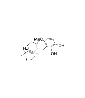 COc1ccc(O)c(O)c1CC1=C(C)CC[C@H]2C(C)(C)CCC[C@]12C